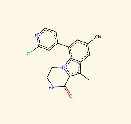 Cc1c2n(c3c(-c4ccnc(Cl)c4)cc(C#N)cc13)CCNC2=O